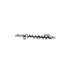 CCCCCCCCCC(=O)OCCCCCCCCCCCCCC(O)CO